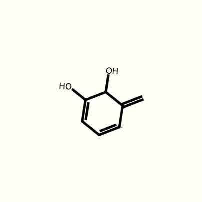 C=C1[C]=CC=C(O)C1O